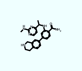 CNc1nccc(C(C)Nc2cc(-c3ccc4c(c3)CNCC4)ccc2C(N)=O)n1